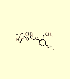 CCc1cc(N)ccc1OCC(=O)OC(C)(C)C